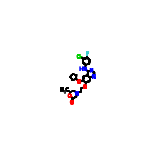 C[C@@H]1CN(CCOc2cc3ncnc(Nc4ccc(F)c(Cl)c4)c3cc2OC2CCCC2)CC(=O)O1